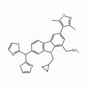 Cc1noc(C)c1-c1cc(CN)c2c(c1)c1ccc(N(c3nccs3)c3nccs3)cc1n2CC1CC1